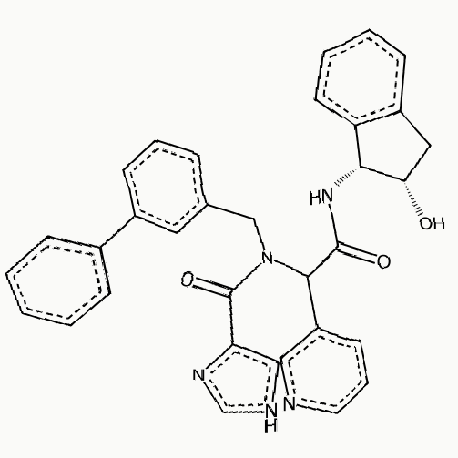 O=C(N[C@@H]1c2ccccc2C[C@@H]1O)C(c1cccnc1)N(Cc1cccc(-c2ccccc2)c1)C(=O)c1c[nH]cn1